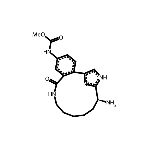 COC(=O)Nc1ccc2c(c1)C(=O)NCCCCC[C@H](N)c1nc-2c[nH]1